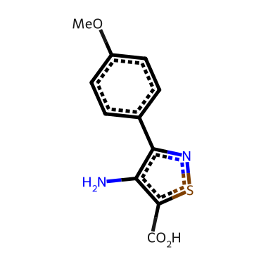 COc1ccc(-c2nsc(C(=O)O)c2N)cc1